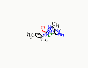 CC(=NNC(=O)Nc1ccc(C)cc1C)c1n[nH]cc1Cl